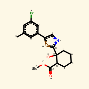 Cc1cc(Br)cc(-c2cnc(C3(O)CCCCC3C(=O)OC(C)(C)C)s2)c1